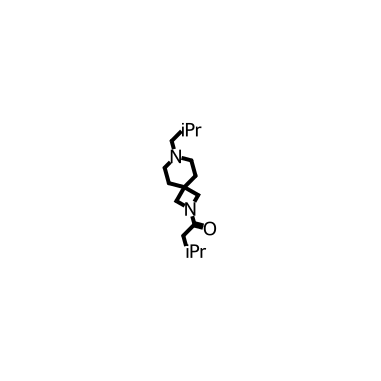 CC(C)CC(=O)N1CC2(CCN(CC(C)C)CC2)C1